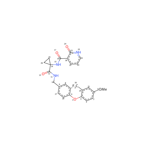 COc1ccc(Oc2ccc(CNC(=O)C3(NC(=O)c4ccc[nH]c4=O)CC3)cc2)c(C(F)(F)F)c1